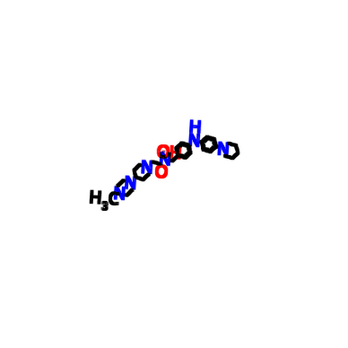 CN1CCN(C2CCN(CC(=O)N(O)Cc3ccc(Nc4ccc(N5CCCCC5)cc4)cc3)CC2)CC1